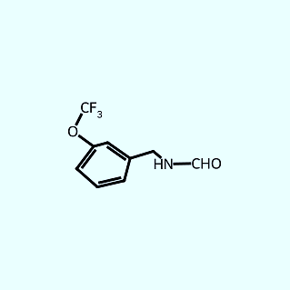 O=CNCc1cccc(OC(F)(F)F)c1